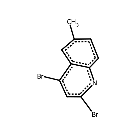 Cc1ccc2nc(Br)cc(Br)c2c1